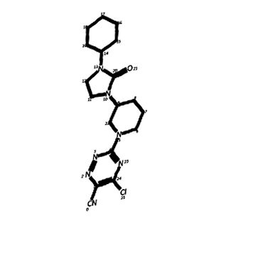 N#Cc1nnc(N2CCCC(N3CCN(C4CCCCC4)C3=O)C2)nc1Cl